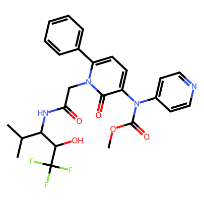 COC(=O)N(c1ccncc1)c1ccc(-c2ccccc2)n(CC(=O)NC(C(C)C)C(O)C(F)(F)F)c1=O